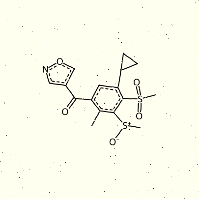 Cc1c(C(=O)c2cnoc2)cc(C2CC2)c(S(C)(=O)=O)c1[S+](C)[O-]